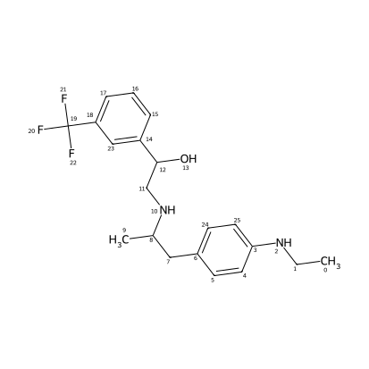 CCNc1ccc(CC(C)NCC(O)c2cccc(C(F)(F)F)c2)cc1